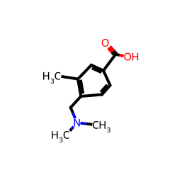 Cc1cc(C(=O)O)ccc1CN(C)C